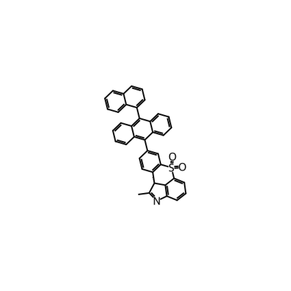 CC1=Nc2cccc3c2[C@]1(C)c1ccc(-c2c4ccccc4c(-c4cccc5ccccc45)c4ccccc24)cc1S3(=O)=O